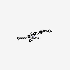 C=CC(=O)OCCCCCCOc1ccc(C(=O)Oc2ccc(OC(=O)c3ccc(OCCCCCCOC(=O)C=C)cc3)c(/C=N/N(CCO)c3nc4ccccc4s3)c2)cc1